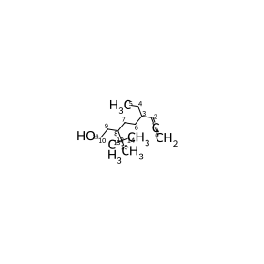 C=C=CC(CC)CCC(CCO)C(C)(C)C